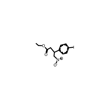 CCOC(=O)CC(C[N+](=O)[O-])c1ccc(I)cc1